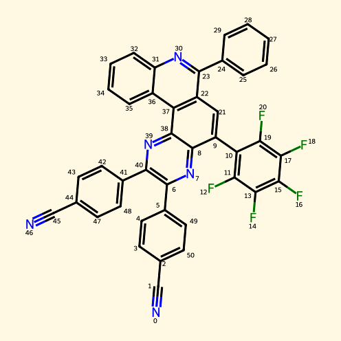 N#Cc1ccc(-c2nc3c(-c4c(F)c(F)c(F)c(F)c4F)cc4c(-c5ccccc5)nc5ccccc5c4c3nc2-c2ccc(C#N)cc2)cc1